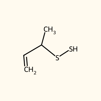 C=CC(C)SS